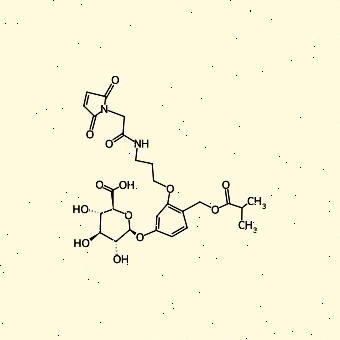 CC(C)C(=O)OCc1ccc(O[C@@H]2O[C@H](C(=O)O)[C@@H](O)[C@H](O)[C@H]2O)cc1OCCCNC(=O)CN1C(=O)C=CC1=O